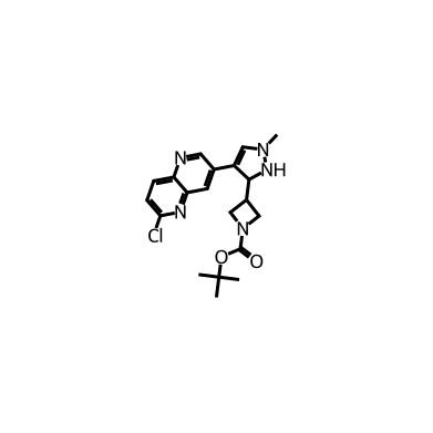 CN1C=C(c2cnc3ccc(Cl)nc3c2)C(C2CN(C(=O)OC(C)(C)C)C2)N1